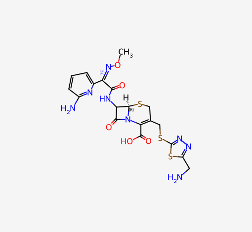 CO/N=C(\C(=O)NC1C(=O)N2C(C(=O)O)=C(CSc3nnc(CN)s3)CS[C@H]12)c1cccc(N)n1